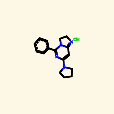 C1=C(N2CCCC2)N=C(c2ccccc2)N2CCN=C12.Cl